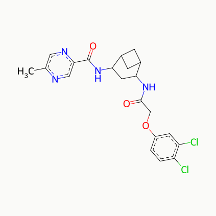 Cc1cnc(C(=O)NC2CC(NC(=O)COc3ccc(Cl)c(Cl)c3)C3CC2C3)cn1